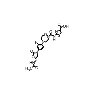 CC(=O)NC[C@H]1CN(c2ccc(N3CCON(C(=O)NC4=NC(C(=O)O)CS4)CC3)c(F)c2)C(=O)O1